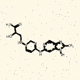 Cc1nc2cnc(NC3=NCN(NCC(O)C(N)=O)C=C3)cc2n1C(C)C